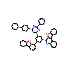 c1ccc(-c2ccc(-c3cc(-c4cc(-c5cccc6c5oc5ccccc56)cc(-c5nc6ccccc6c6c5oc5ccccc56)c4)nc(-c4ccccc4)n3)cc2)cc1